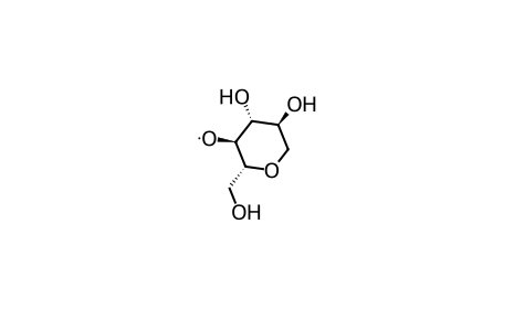 [O][C@H]1[C@H](O)[C@@H](O)CO[C@@H]1CO